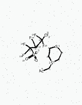 CC(=O)C[S+]1CCSCC1.O=S(=O)([O-])C(F)(F)C(F)(F)C(F)(F)C(F)(F)F